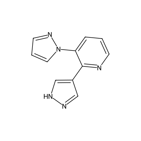 c1cnc(-c2cn[nH]c2)c(-n2cccn2)c1